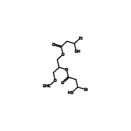 CCC(O)CC(=O)OCC(COC=O)OC(=O)CC(O)CC